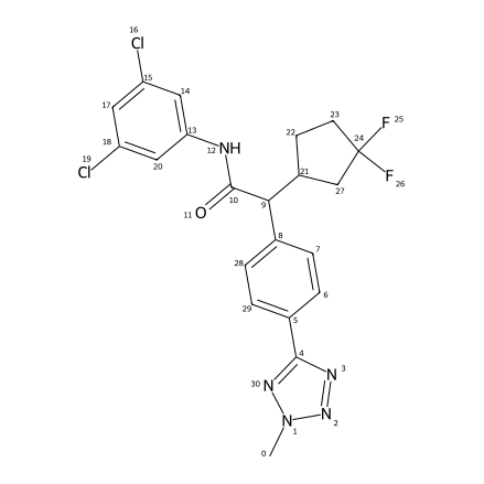 Cn1nnc(-c2ccc(C(C(=O)Nc3cc(Cl)cc(Cl)c3)C3CCC(F)(F)C3)cc2)n1